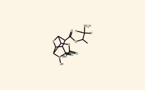 CC(C)N1C(=O)C2C3SC(C(OC(=O)C(C)(C)C)C31)C2C(=O)OC(C)C(F)(F)S(=O)(=O)O